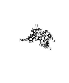 C=C[C@@H]1C[C@]1(NC(=O)[C@@H]1C[C@@H](Oc2cc(-c3csc(NCC)n3)nc3cc(OC)ccc23)CN1C(=O)[C@@H](NC(=O)OC1CCCC1)C(C)(C)C)P(C)(=O)O